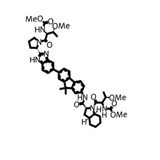 COC(=O)NC(C(=O)N1[C@H](C(=O)Nc2ccc3c(c2)C(C)(C)c2cc(-c4ccc5[nH]c([C@@H]6CCCN6C(=O)[C@@H](NC(=O)OC)[C@@H](C)OC)nc5c4)ccc2-3)C[C@@H]2CCCC[C@@H]21)[C@@H](C)OC